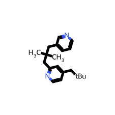 CC(C)(C)Cc1ccnc(CC(C)(C)Cc2cccnc2)c1